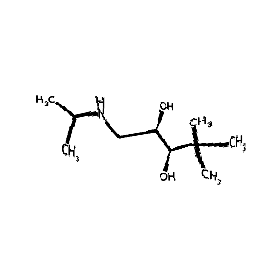 CC(C)NC[C@@H](O)[C@H](O)C(C)(C)C